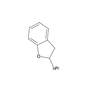 CCCC1Cc2ccccc2O1